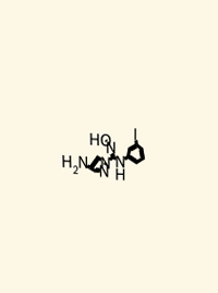 Nc1cnn(C(=NO)Nc2cccc(I)c2)c1